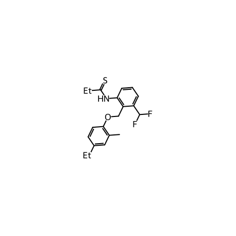 CCC(=S)Nc1cccc(C(F)F)c1COc1ccc(CC)cc1C